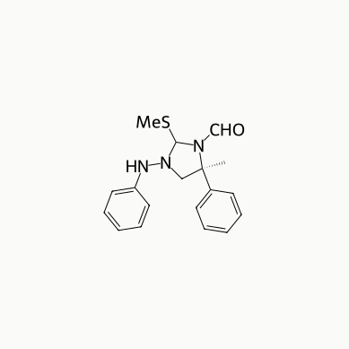 CSC1N(Nc2ccccc2)C[C@](C)(c2ccccc2)N1C=O